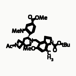 CNc1cc(C(=O)OC)ccc1[C@H]1CC2(CCN1Cc1c(OC)cc(C)c3c1ccn3C(=O)OC(C)(C)C)CN(C(C)=O)C2